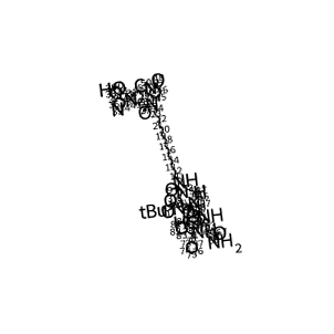 CC(C)(C)OC(=O)N[C@H]1CN(C(=O)NCCCCCCCCCCCCCCN(C(=O)[C@H]2CCCN(c3cncc4ccccc34)C2)c2ccc(=O)n(CC(=O)O)c2)CC[C@H]2CC[C@@H](C(=O)N[C@@H](CCC(N)=O)C(=O)NC(c3ccccc3)c3ccccc3)N2C1=O